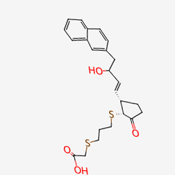 O=C(O)CSCCCS[C@H]1C(=O)CC[C@H]1C=CC(O)Cc1ccc2ccccc2c1